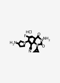 Cl.N#Cc1c(N2CCC(N)C2)c(F)cc2c(=O)n(N)c(=O)n(C3CC3)c12